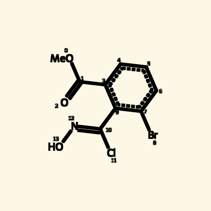 COC(=O)c1cccc(Br)c1C(Cl)=NO